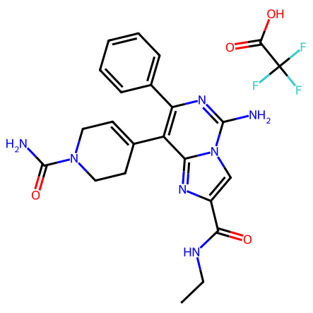 CCNC(=O)c1cn2c(N)nc(-c3ccccc3)c(C3=CCN(C(N)=O)CC3)c2n1.O=C(O)C(F)(F)F